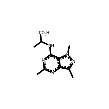 Cc1nc(NC(C)C(=O)O)c2c(n1)c(C)nn2C